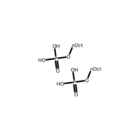 CCCCCCCCOP(=O)(O)O.CCCCCCCCOP(=O)(O)O